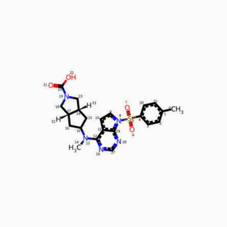 Cc1ccc(S(=O)(=O)n2ccc3c(N(C)C4C[C@@H]5CN(C(=O)O)C[C@@H]5C4)ncnc32)cc1